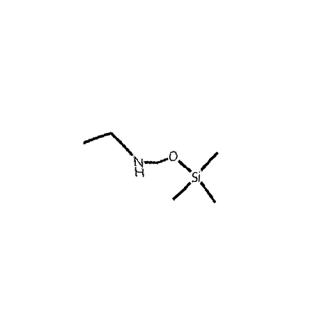 CCNO[Si](C)(C)C